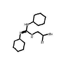 CCCCC(CC)CN/C(=N\C1CCCCC1)NC1CCCCC1